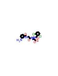 COC(=O)C(CNC(=O)CNC(=O)c1cccc(N)c1)NC(=O)c1c(Cl)cccc1Cl